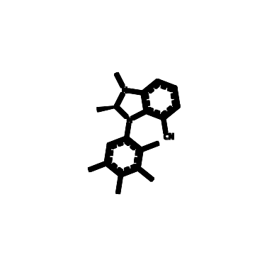 Cc1cc(N2c3c(C#N)cccc3N(C)[C@@H]2C)c(C)c(C)c1C